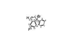 CCC(Br)(c1ccccc1)c1ccc(F)cc1